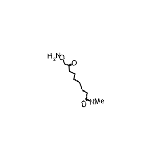 CNC(=O)CCCCCCC(=O)CON